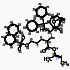 C/C=C(\C)OC(=O)[C@@H](CCCOS(=O)(=O)c1cccc2cccnc12)C[C@H](NC(c1ccccc1)(c1ccccc1)C1C=CC=CC1)C(=O)OC(C)(C)C